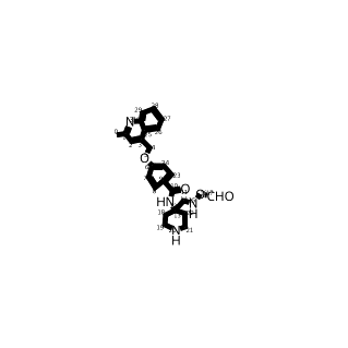 Cc1cc(COc2ccc(C(=O)NC3(CNOC=O)CCNCC3)cc2)c2ccccc2n1